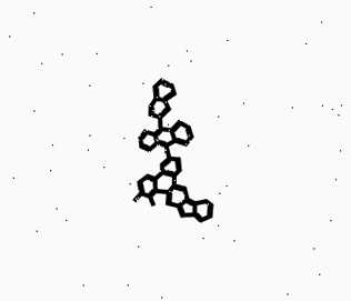 Cc1ccc2c3cc(-c4c5ccccc5c(-c5ccc6ccccc6c5)c5ccccc45)ccc3c3cc4c(cc3c2c1C)=CC1=CC=CCC=41